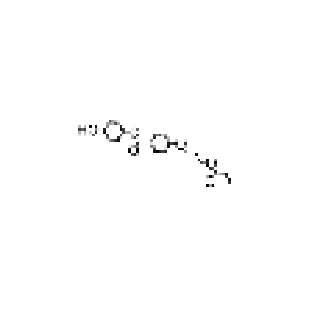 C=CC(=O)OCCCOc1ccc(C(=O)Oc2ccc(O)cc2)cc1